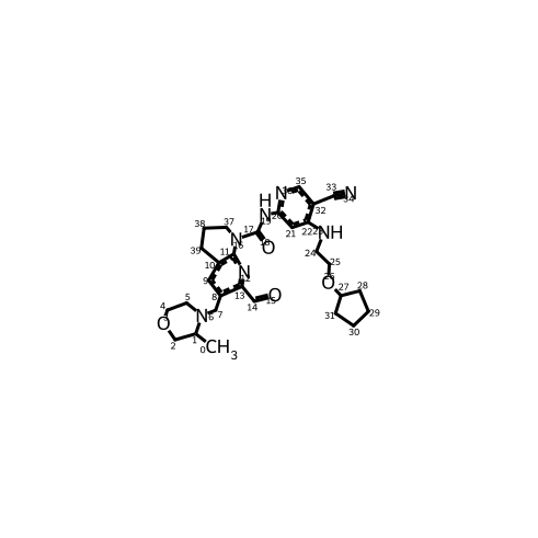 CC1COCCN1Cc1cc2c(nc1C=O)N(C(=O)Nc1cc(NCCOC3CCCC3)c(C#N)cn1)CCC2